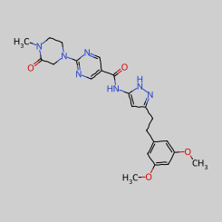 COc1cc(CCc2cc(NC(=O)c3cnc(N4CCN(C)C(=O)C4)nc3)[nH]n2)cc(OC)c1